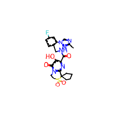 Cc1ncn(-c2cc(F)ccc2CNC(=O)c2nc3n(c(=O)c2O)CCS(=O)(=O)C32CCCC2)n1